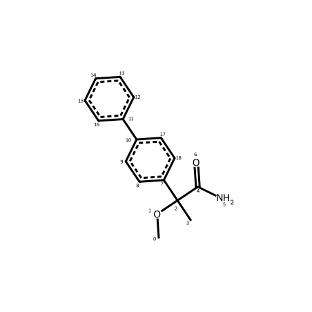 COC(C)(C(N)=O)c1ccc(-c2ccccc2)cc1